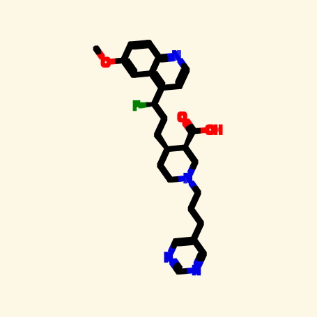 COc1ccc2nccc([C@H](F)CC[C@@H]3CCN(CCCc4cncnc4)C[C@@H]3C(=O)O)c2c1